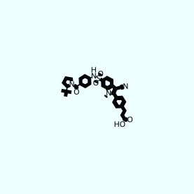 Cn1c(-c2ccc(CCC(=O)O)cc2)c(C#N)c2ccc(S(=O)(=O)N[C@H]3CC[C@H](C(=O)N4CCC[C@@H]4C(C)(C)C)CC3)cc21